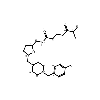 Cc1ccc(CN2CCN(CC3CCC(CNC(=O)CCCC(=O)C(C)C)O3)CC2)cc1